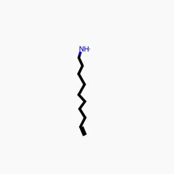 C=CCCCCCCCC[NH]